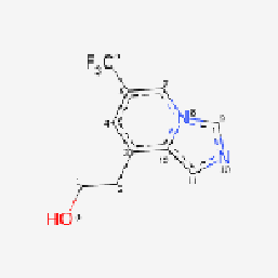 OCCc1cc(C(F)(F)F)cn2cncc12